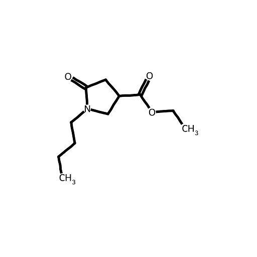 CCCCN1CC(C(=O)OCC)CC1=O